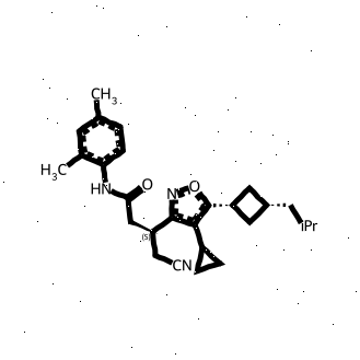 Cc1ccc(NC(=O)C[C@H](CC#N)c2noc([C@H]3C[C@@H](CC(C)C)C3)c2C2CC2)c(C)c1